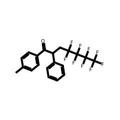 Cc1ccc(C(=O)C(CC(F)(F)C(F)(F)C(F)(F)C(F)(F)F)c2ccccc2)cc1